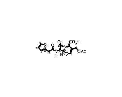 CC(=O)OCC1=CS[C@H]2C(NC(=O)Cc3cccs3)C(=O)N2C1C(=O)O